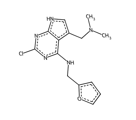 CN(C)Cc1c[nH]c2nc(Cl)nc(NCc3ccco3)c12